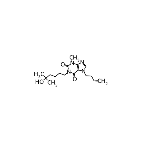 C=CCCn1cnc2c1c(=O)n(CCCCC(C)(C)O)c(=O)n2C